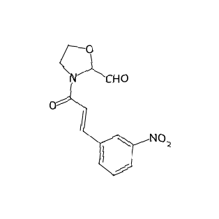 O=CC1OCCN1C(=O)C=Cc1cccc([N+](=O)[O-])c1